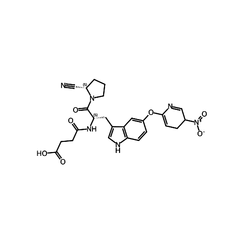 N#C[C@@H]1CCCN1C(=O)[C@H](Cc1c[nH]c2ccc(OC3=CCC([N+](=O)[O-])C=N3)cc12)NC(=O)CCC(=O)O